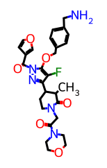 CC1C(=O)N(CC(=O)N2CCOCC2)CCC1c1nn(C(=O)c2ccoc2)c(OCc2ccc(CN)cc2)c1F